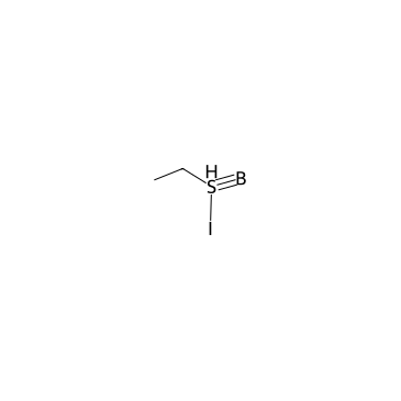 B#[SH](I)CC